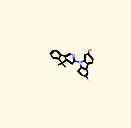 Bc1ccc2c(c1)c1ccc(O)cc1n2-c1cc2c(cn1)-c1ccccc1C2(C)C